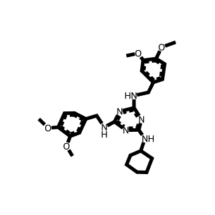 COc1ccc(CNc2nc(NCc3ccc(OC)c(OC)c3)nc(NC3CCCCC3)n2)cc1OC